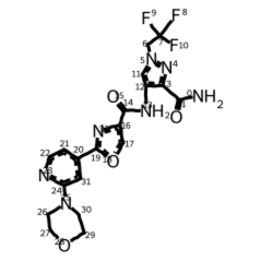 NC(=O)c1nn(CC(F)(F)F)cc1NC(=O)c1coc(-c2ccnc(N3CCOCC3)c2)n1